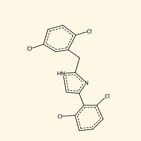 Clc1ccc(Cl)c(Cc2nc(-c3c(Cl)cccc3Cl)c[nH]2)c1